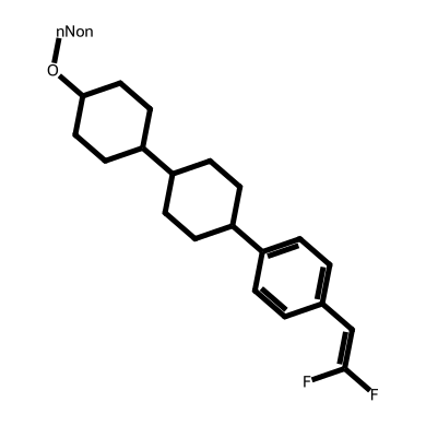 CCCCCCCCCOC1CCC(C2CCC(c3ccc(C=C(F)F)cc3)CC2)CC1